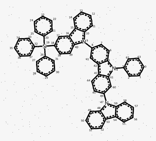 c1ccc(-n2c3ccc(-n4c5ccccc5c5cc([Si](c6ccccc6)(c6ccccc6)c6ccccc6)ccc54)cc3c3ccc(-n4c5ccccc5c5ccccc54)cc32)cc1